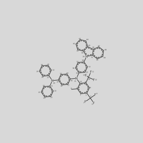 Cc1cc(C(F)(F)F)cc(C(F)(F)F)c1N(c1ccc(N(c2ccccc2)c2ccccc2)cc1)c1ccc(-n2c3ccccc3c3ccccc32)cc1